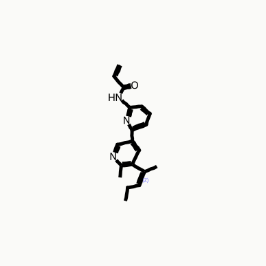 C=CC(=O)Nc1cccc(-c2cnc(C)c(/C(C)=C\CC)c2)n1